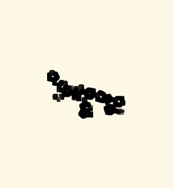 CC(C)c1ccccc1[C@H]1COCCN1C1CC2(CCN(c3ccc(C(=O)NS(=O)(=O)c4cc([N+](=O)[O-])c5c(n4)OC[C@H](CC4CCOCC4)S5)c(Oc4cnc5[nH]ccc5c4)c3)CC2)C1